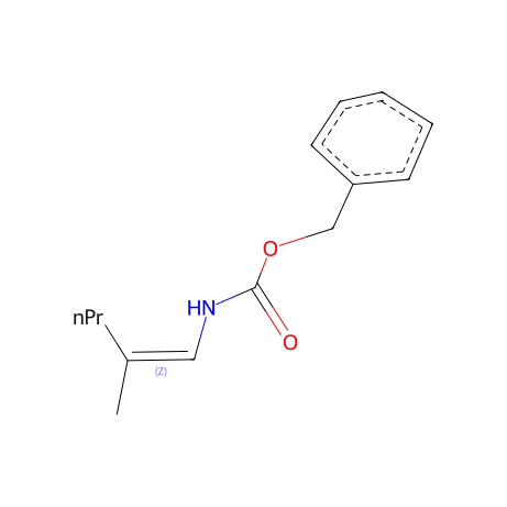 CCC/C(C)=C\NC(=O)OCc1ccccc1